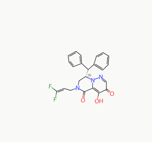 O=C1c2c(O)c(=O)cnn2[C@@H](C(c2ccccc2)c2ccccc2)CN1CC=C(F)F